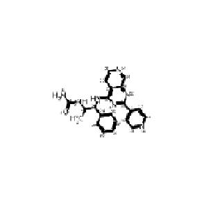 CC(NC(N)=O)C(Nc1nc(-c2ccncc2)nc2cnccc12)c1ccccc1